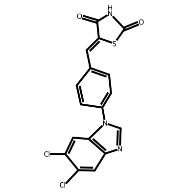 O=C1NC(=O)C(=Cc2ccc(-n3cnc4cc(Cl)c(Cl)cc43)cc2)S1